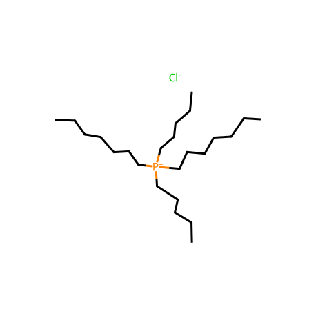 CCCCCCC[P+](CCCCC)(CCCCC)CCCCCCC.[Cl-]